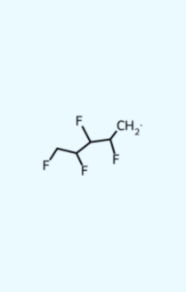 [CH2]C(F)C(F)C(F)CF